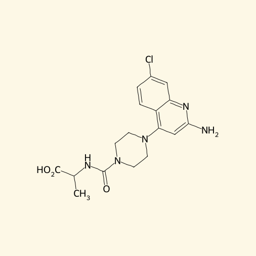 CC(NC(=O)N1CCN(c2cc(N)nc3cc(Cl)ccc23)CC1)C(=O)O